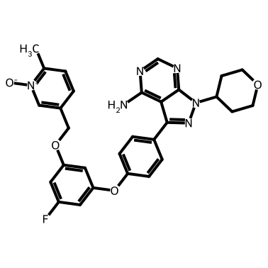 Cc1ccc(COc2cc(F)cc(Oc3ccc(-c4nn(C5CCOCC5)c5ncnc(N)c45)cc3)c2)c[n+]1[O-]